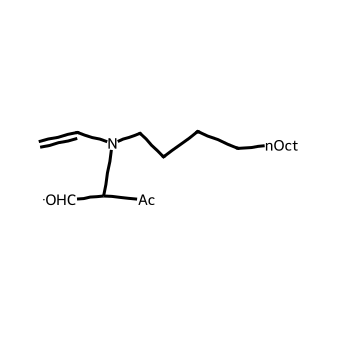 C=CN(CCCCCCCCCCCC)C([C]=O)C(C)=O